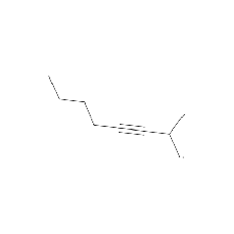 [CH2]C(C)C#CCCCC